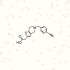 N#Cc1ccc(CN2CCc3sc(CC(=O)O)cc3C2)cc1